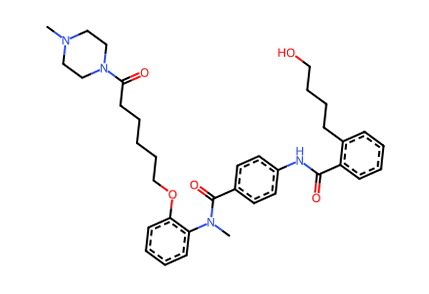 CN1CCN(C(=O)CCCCCOc2ccccc2N(C)C(=O)c2ccc(NC(=O)c3ccccc3CCCCO)cc2)CC1